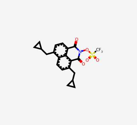 O=C1c2ccc(CC3CC3)c3ccc(CC4CC4)c(c23)C(=O)N1OS(=O)(=O)C(F)(F)F